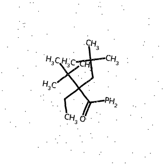 CCC(CC(C)(C)C)(C(=O)P)C(C)(C)C